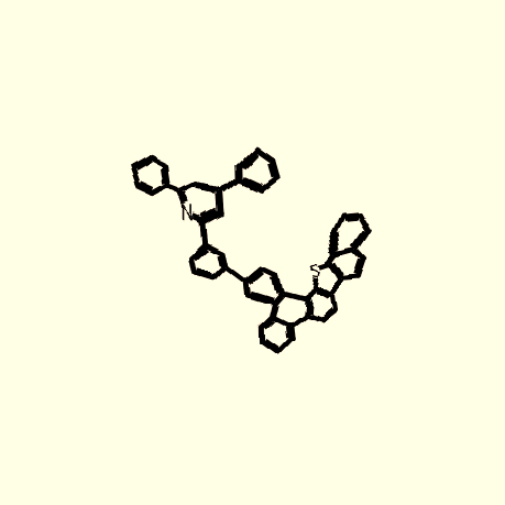 c1ccc(-c2cc(-c3ccccc3)nc(-c3cccc(-c4ccc5c(c4)c4ccccc4c4ccc6c7ccc8ccccc8c7sc6c45)c3)c2)cc1